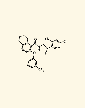 O=C(NCC(F)c1ccc(Cl)cc1Cl)c1c(Oc2cccc(C(F)(F)F)c2)nnc2c1CCCC2